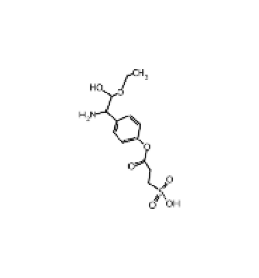 CCOC(O)C(N)c1ccc(OC(=O)CCS(=O)(=O)O)cc1